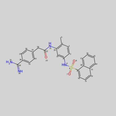 Cc1ccc(NS(=O)(=O)c2cccc3ccccc23)cc1NC(=O)Cc1ccc(C(=N)N)cc1